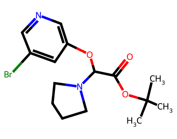 CC(C)(C)OC(=O)C(Oc1cncc(Br)c1)N1CCCC1